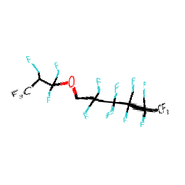 FC(C(F)(F)F)C(F)(F)OCC(F)(F)C(F)(F)C(F)(F)C(F)(F)C(F)(F)F